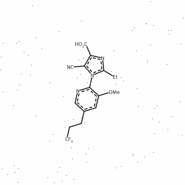 CCc1nc(C(=O)O)c(C#N)n1-c1ncc(CCC(F)(F)F)cc1OC